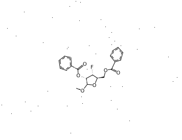 COC1O[C@H](COC(=O)c2ccccc2)[C@@H](F)[C@H]1OC(=O)c1ccccc1